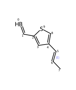 B=Cc1cc(/C=C/C)cs1